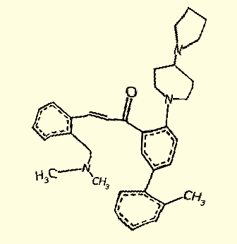 Cc1ccccc1-c1ccc(N2CCC(N3CCCC3)CC2)c(C(=O)/C=C/c2ccccc2CN(C)C)c1